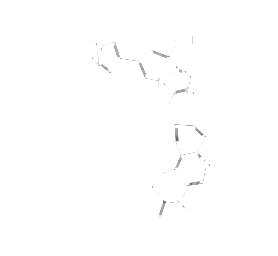 CN1C(=O)COc2c1cnc1ccc(Sc3nnc4c(O)cc(-c5cnn(C)c5)cn34)cc21